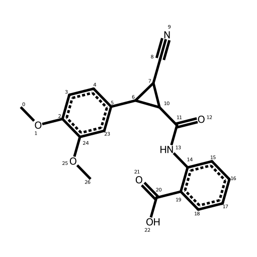 COc1ccc(C2C(C#N)C2C(=O)Nc2ccccc2C(=O)O)cc1OC